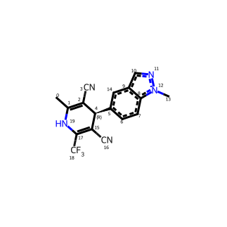 CC1=C(C#N)[C@@H](c2ccc3c(cnn3C)c2)C(C#N)=C(C(F)(F)F)N1